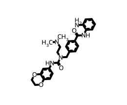 CN(C)CCN(Cc1ccc(C(=O)Nc2ccccc2N)cc1)C(=O)Nc1ccc2c(c1)OCCO2